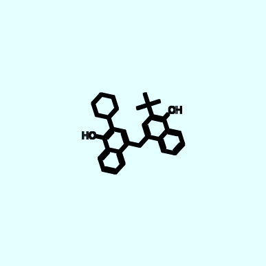 CC(C)(C)c1cc(Cc2cc(C3CCCCC3)c(O)c3ccccc23)c2ccccc2c1O